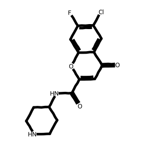 O=C(NC1CCNCC1)c1cc(=O)c2cc(Cl)c(F)cc2o1